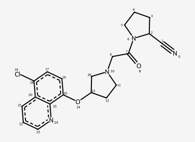 N#CC1CCCN1C(=O)CN1CCC(Oc2ccc(Cl)c3cccnc23)C1